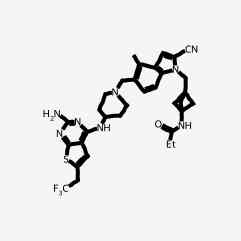 CCC(=O)NC12CC(Cn3c(C#N)cc4c(C)c(CN5CCC(Nc6nc(N)nc7sc(CC(F)(F)F)cc67)CC5)ccc43)(C1)C2